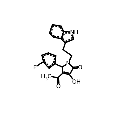 CC(=O)C1=C(O)C(=O)N(CCc2c[nH]c3ccccc23)C1c1cccc(F)c1